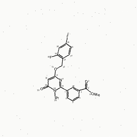 COC(=O)c1cccc(-c2nc(OCc3ccc(F)cc3F)cc(=O)n2C(C)C)c1